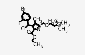 CCOC(=O)c1nn(COCC[Si](C)(C)C)c(C)c1C(Cl)c1ccc(Br)cc1F